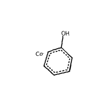 Oc1ccccc1.[Co]